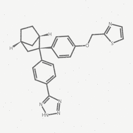 c1csc(COc2ccc([C@@]3(c4ccc(-c5nn[nH]n5)cc4)C[C@@H]4CC[C@H]3C4)cc2)n1